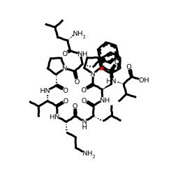 CC(C)C[C@H](NC(=O)[C@H](CCCN)NC(=O)[C@@H](NC(=O)[C@@H]1CCCN1C(=O)[C@@H](Cc1ccccc1)NC(=O)[C@@H](N)CC(C)C)C(C)C)C(=O)N[C@H](Cc1ccccc1)C(=O)N1CCC[C@H]1C(=O)N[C@H](C(=O)O)C(C)C